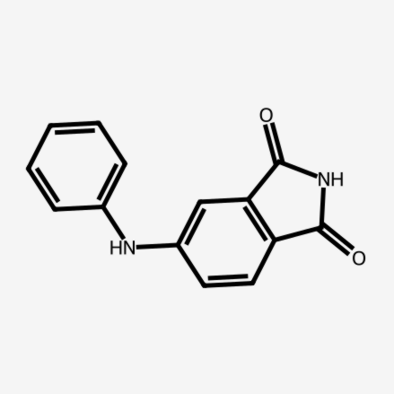 O=C1NC(=O)c2cc(Nc3ccccc3)ccc21